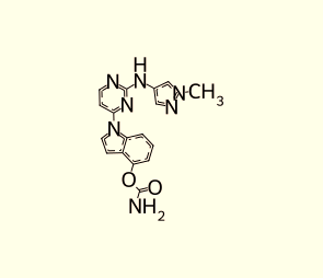 Cn1cc(Nc2nccc(-n3ccc4c(OC(N)=O)cccc43)n2)cn1